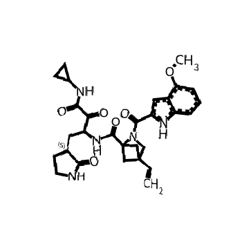 C=CC12CN(C(=O)c3cc4c(OC)cccc4[nH]3)C(C(=O)NC(C[C@@H]3CCNC3=O)C(=O)C(=O)NC3CC3)(C1)C2